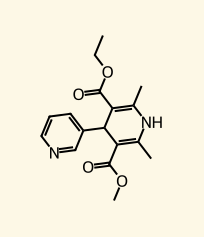 CCOC(=O)C1=C(C)NC(C)=C(C(=O)OC)C1c1cccnc1